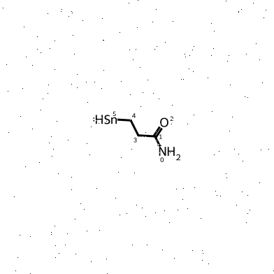 NC(=O)C[CH2][SnH]